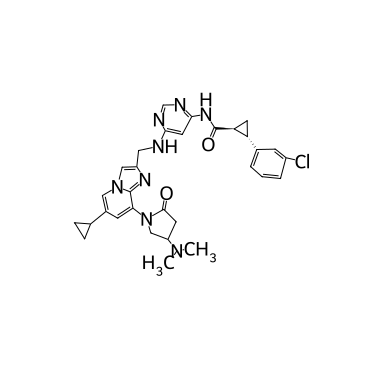 CN(C)C1CC(=O)N(c2cc(C3CC3)cn3cc(CNc4cc(NC(=O)[C@H]5C[C@@H]5c5cccc(Cl)c5)ncn4)nc23)C1